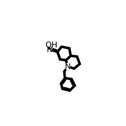 ON=C1CCC2CCCN(Cc3ccccc3)C2C1